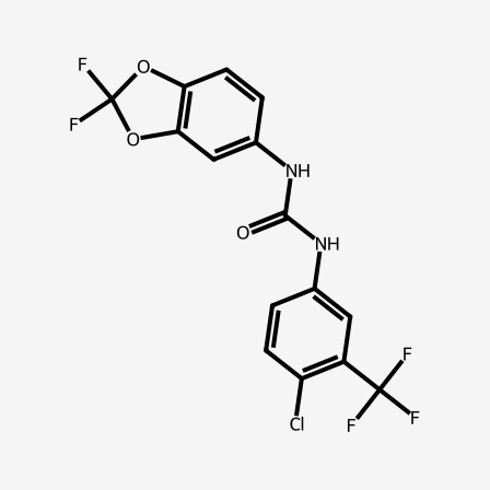 O=C(Nc1ccc2c(c1)OC(F)(F)O2)Nc1ccc(Cl)c(C(F)(F)F)c1